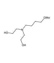 COCCCCN(CCO)CCO